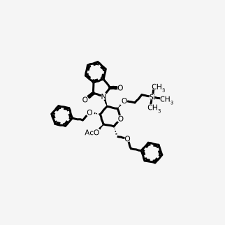 CC(=O)O[C@H]1[C@H](OCc2ccccc2)[C@@H](N2C(=O)c3ccccc3C2=O)[C@H](OCC[Si](C)(C)C)O[C@@H]1COCc1ccccc1